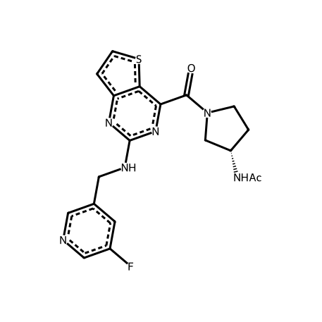 CC(=O)N[C@H]1CCN(C(=O)c2nc(NCc3cncc(F)c3)nc3ccsc23)C1